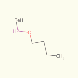 CCCCOP[TeH]